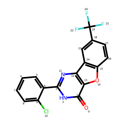 O=c1[nH]c(-c2ccccc2Cl)nc2c1oc1ccc(C(F)(F)F)cc12